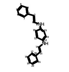 C(=Cc1ccccc1)Nc1ccc(NC=Cc2ccccc2)cc1